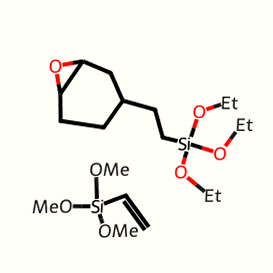 C=C[Si](OC)(OC)OC.CCO[Si](CCC1CCC2OC2C1)(OCC)OCC